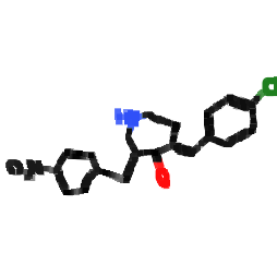 O=C1C(=Cc2ccc(Cl)cc2)CCNCC1=Cc1ccc([N+](=O)[O-])cc1